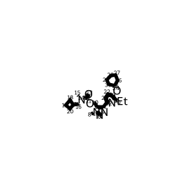 CCc1nc(-c2nnn(C)c2COC(=O)N(C)CC2CCC2)ccc1OC1CCCCC1